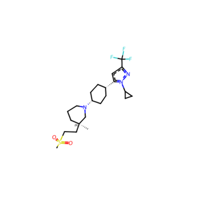 C[C@]1(CCS(C)(=O)=O)CCCN([C@H]2CC[C@@H](c3cc(C(F)(F)F)nn3C3CC3)CC2)C1